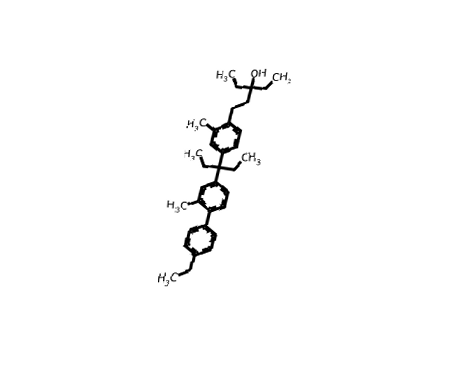 CCc1ccc(-c2ccc(C(CC)(CC)c3ccc(CCC(O)(CC)CC)c(C)c3)cc2C)cc1